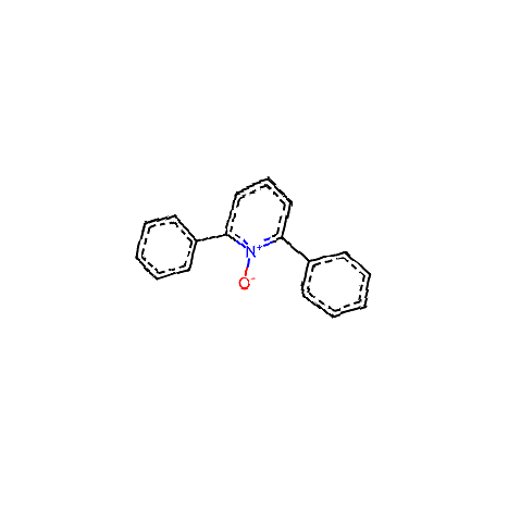 [O-][n+]1c(-c2ccccc2)cccc1-c1ccccc1